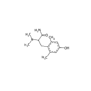 Cc1cc(O)cc(C)c1CC(C(N)=O)N(C)C